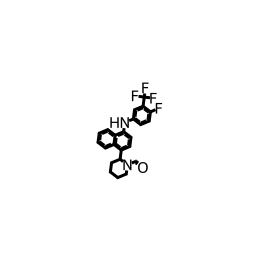 O=CN1CCCCC1c1ccc(Nc2ccc(F)c(C(F)(F)F)c2)c2ccccc12